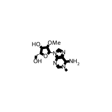 COC1C(O)[C@@H](CO)O[C@H]1n1cnc2c1N=CN(C)C2N